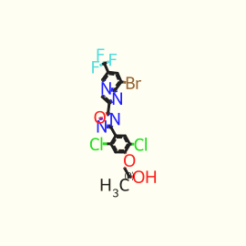 C[C@@H](O)COc1cc(Cl)c(-c2noc(-c3cn4cc(C(F)(F)F)cc(Br)c4n3)n2)cc1Cl